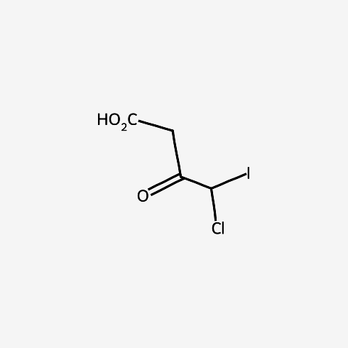 O=C(O)CC(=O)C(Cl)I